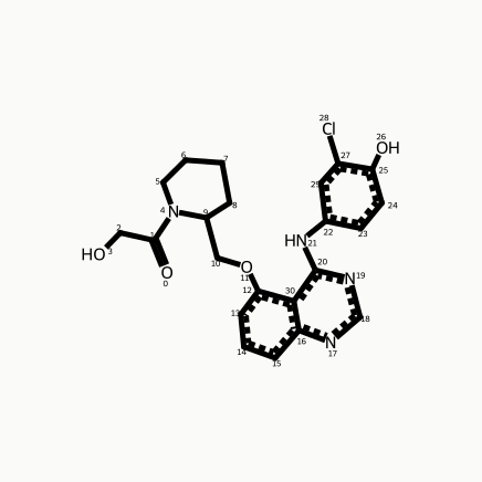 O=C(CO)N1CCCCC1COc1cccc2ncnc(Nc3ccc(O)c(Cl)c3)c12